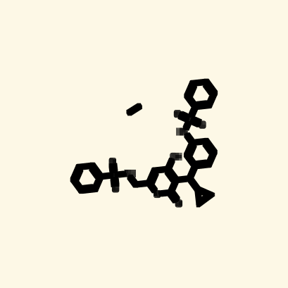 CC.O=c1oc(CNS(=O)(=O)c2ccccc2)cc(O)c1C(c1cccc(NS(=O)(=O)c2ccccc2)c1)C1CC1